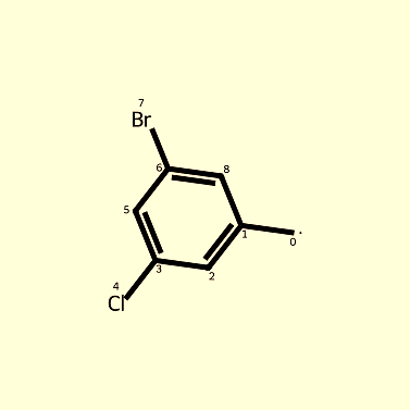 [CH2]c1cc(Cl)cc(Br)c1